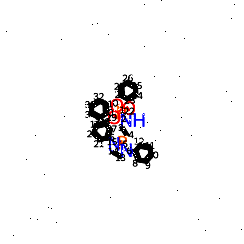 O=P(NCCP1N(c2ccccc2)CCN1c1ccccc1)(Oc1ccccc1)Oc1ccccc1